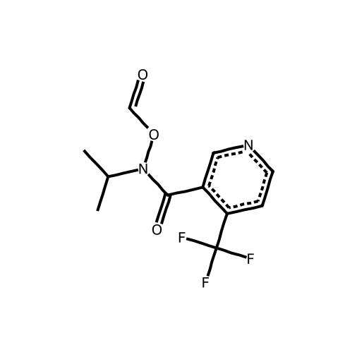 CC(C)N(OC=O)C(=O)c1cnccc1C(F)(F)F